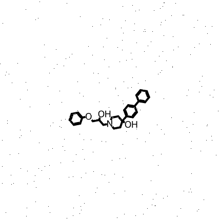 OC(COc1ccccc1)CN1CCC(O)(c2ccc(-c3ccccc3)cc2)CC1